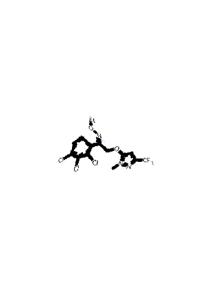 CCO/N=C(/COc1cc(C(F)(F)F)nn1C)c1ccc(Cl)c(Cl)c1Cl